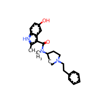 Cc1[nH]c2ccc(O)cc2c1C(=O)N(C)C1CCN(CCc2ccccc2)CC1